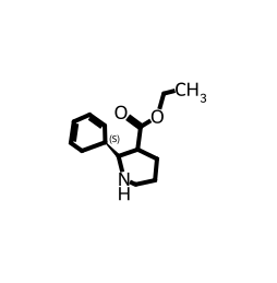 CCOC(=O)C1CCCNC1[C@@H]1C=CC=CC1